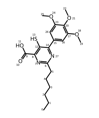 CCCCCCc1nc(C(=O)O)c(S)c(-c2cc(OC)c(OC)c(OC)c2)n1